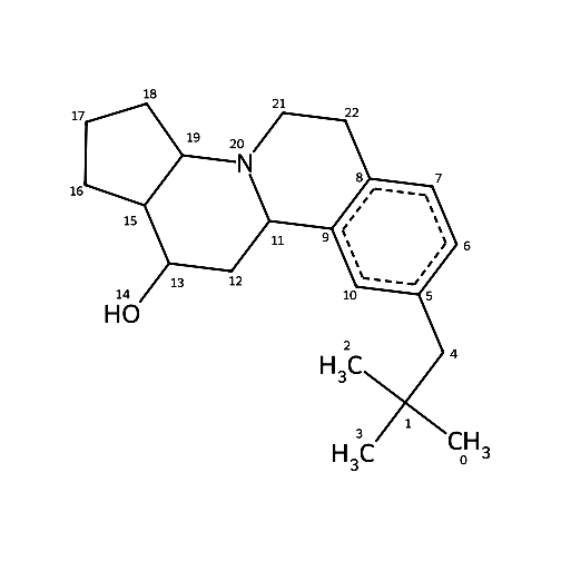 CC(C)(C)Cc1ccc2c(c1)C1CC(O)C3CCCC3N1CC2